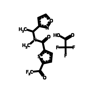 CC(c1ccon1)N(C)C(=O)c1ccc(C(=O)C(F)(F)F)s1.O=C(O)C(F)(F)F